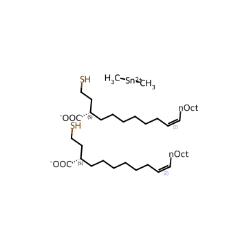 CCCCCCCC/C=C\CCCCCC[C@@H](CCS)C(=O)[O-].CCCCCCCC/C=C\CCCCCC[C@@H](CCS)C(=O)[O-].[CH3][Sn+2][CH3]